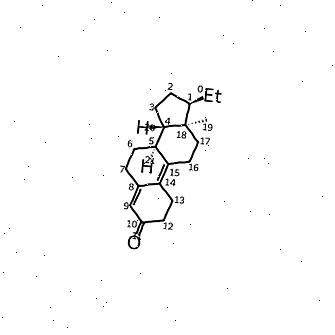 CC[C@@H]1CC[C@H]2[C@@H]3CCC4=CC(=O)CCC4=C3CC[C@]12C